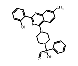 Cc1ccc2c(N3CCN([C@@](O)(C=O)c4ccccc4)CC3)nc(-c3ccccc3O)nc2c1